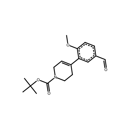 COc1ccc(C=O)cc1C1=CCN(C(=O)OC(C)(C)C)CC1